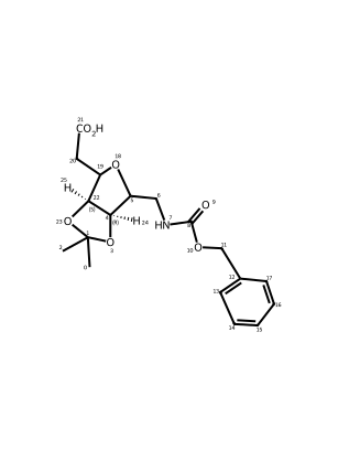 CC1(C)O[C@@H]2C(CNC(=O)OCc3ccccc3)OC(CC(=O)O)[C@@H]2O1